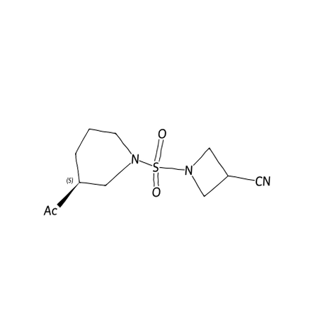 CC(=O)[C@H]1CCCN(S(=O)(=O)N2CC(C#N)C2)C1